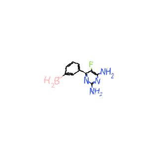 Bc1cccc(-c2nc(N)nc(N)c2F)c1